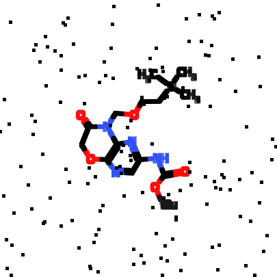 CC(C)(C)OC(=O)Nc1cnc2c(n1)N(COCC[Si](C)(C)C)C(=O)CO2